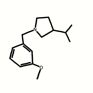 COc1cccc(CN2CCC(C(C)C)C2)c1